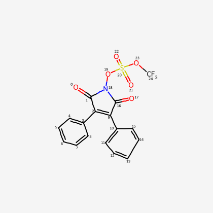 O=C1C(c2ccccc2)=C(c2ccccc2)C(=O)N1OS(=O)(=O)OC(F)(F)F